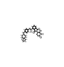 O=C1CCC(N2C(=O)c3cccc(NCc4ccc(CN5CCC6(CCCO6)CC5)cc4)c3C2=O)C(=O)N1